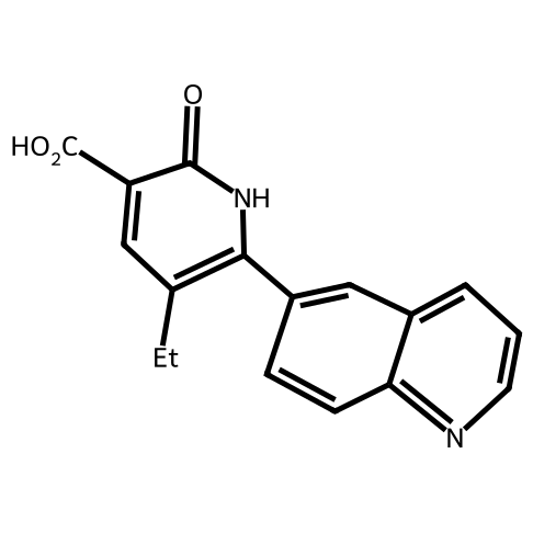 CCc1cc(C(=O)O)c(=O)[nH]c1-c1ccc2ncccc2c1